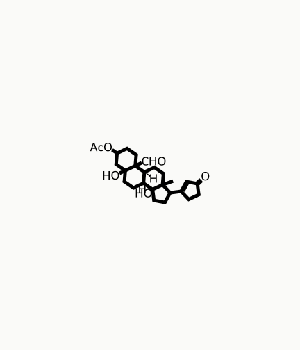 CC(=O)OC1CCC2(C=O)[C@H]3CCC4(C)C(C5=CC(=O)CC5)CCC4(O)[C@@H]3CCC2(O)C1